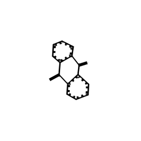 C=C1c2ccccc2C(=O)c2ccccc21